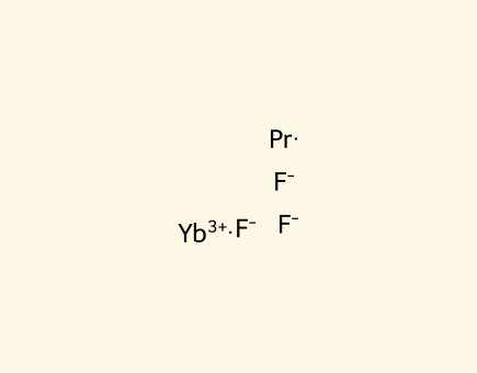 [F-].[F-].[F-].[Pr].[Yb+3]